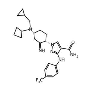 N=C1C[C@H](N(CC2CC2)C2CCC2)CC[C@@H]1n1cc(C(N)=O)c(Nc2ccc(C(F)(F)F)cc2)n1